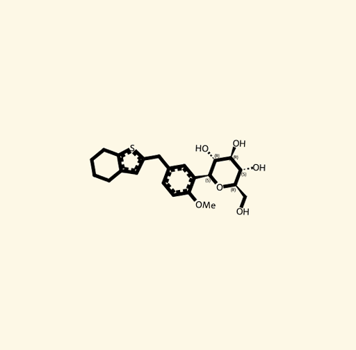 COc1ccc(Cc2cc3c(s2)CCCC3)cc1[C@@H]1O[C@H](CO)[C@@H](O)[C@H](O)[C@H]1O